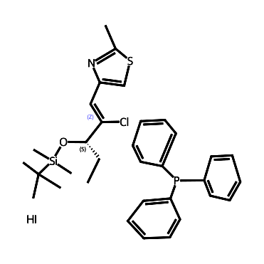 CC[C@H](O[Si](C)(C)C(C)(C)C)/C(Cl)=C/c1csc(C)n1.I.c1ccc(P(c2ccccc2)c2ccccc2)cc1